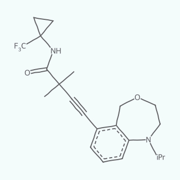 CC(C)N1CCOCc2c(C#CC(C)(C)C(=O)NC3(C(F)(F)F)CC3)cccc21